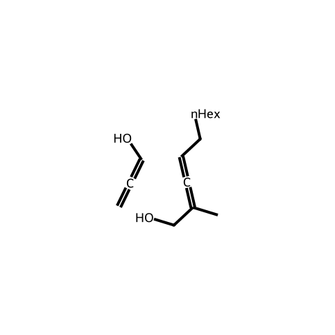 C=C=CO.CCCCCCCC=C=C(C)CO